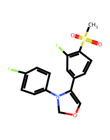 CS(=O)(=O)c1ccc(C2=COCN2c2ccc(F)cc2)cc1F